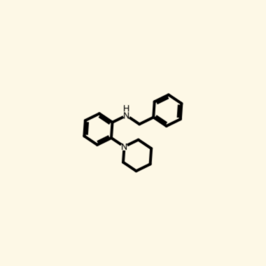 c1ccc(CNc2ccccc2N2CCCCC2)cc1